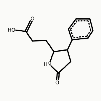 O=C(O)CCC1NC(=O)CC1c1ccccc1